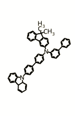 CC1(C)c2ccccc2-c2cc(N(c3ccc(-c4ccc(N5c6ccccc6C6C=CC=CC65)cc4)cc3)c3cccc(-c4ccccc4)c3)ccc21